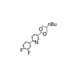 CCCCC1COC(c2ccc(-c3ccc(F)c(F)c3)nc2)OC1